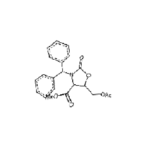 COC(=O)C1C(COC(C)=O)OC(=O)N1C(c1ccccc1)c1ccccc1